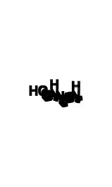 C=C(C)Nc1ccc(C(/C=C\C)=N/C(=C)Nc2cccc(O)c2)cc1